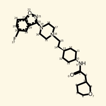 O=C(CC1CCCOC1)N[C@H]1CC[C@H](CCN2CCN(c3noc4ccc(F)cc34)CC2)CC1